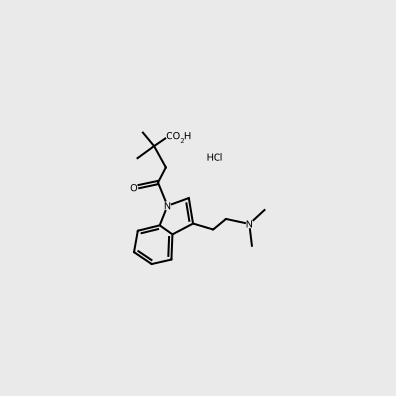 CN(C)CCc1cn(C(=O)CC(C)(C)C(=O)O)c2ccccc12.Cl